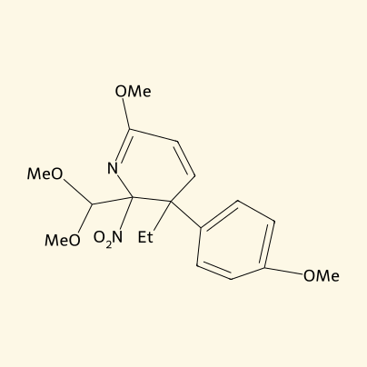 CCC1(c2ccc(OC)cc2)C=CC(OC)=NC1(C(OC)OC)[N+](=O)[O-]